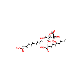 CCCCCCCCCC(=O)O.CCCCCCCCCC(=O)O.O=C1O[C@H]([C@@H](O)CO)C(O)=C1O